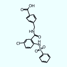 O=C(O)c1ccc(CNC(=O)c2cc(Cl)ccc2NS(=O)(=O)c2ccccc2)cc1